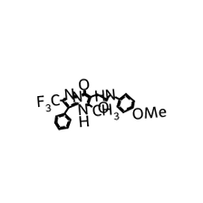 COc1ccc(NC(=O)Cc2c(C)[nH]c3c(-c4ccccc4)c(C(F)(F)F)nn3c2=O)cc1